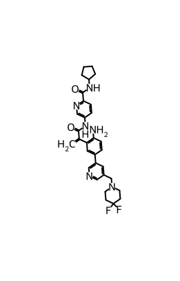 C=C(C(=O)Nc1ccc(C(=O)NC2CCCC2)nc1)c1cc(-c2cncc(CN3CCC(F)(F)CC3)c2)ccc1N